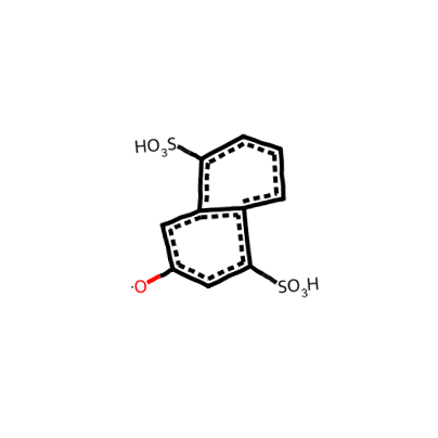 [O]c1cc(S(=O)(=O)O)c2cccc(S(=O)(=O)O)c2c1